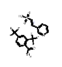 NC(=O)c1ccc(C(F)(F)F)cc1C(F)(F)F.O=S(=O)(O)/C=C/c1cccnc1